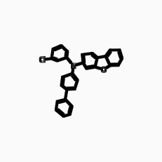 Clc1cccc(N(c2ccc(-c3ccccc3)cc2)c2ccc3c(c2)oc2ccccc23)c1